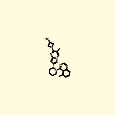 Cc1cn2nc([C@H]3CCCCN3c3ncnc4cccc(C)c34)cc2nc1N1CC(O)C1